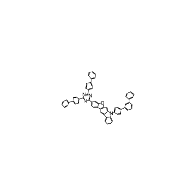 c1ccc(-c2ccc(-c3nc(-c4ccc(-c5ccccc5)cc4)nc(-c4ccc5c(c4)oc4cc6c(cc45)c4ccccc4n6-c4ccc(-c5cccc(-c6ccccc6)c5)cc4)n3)cc2)cc1